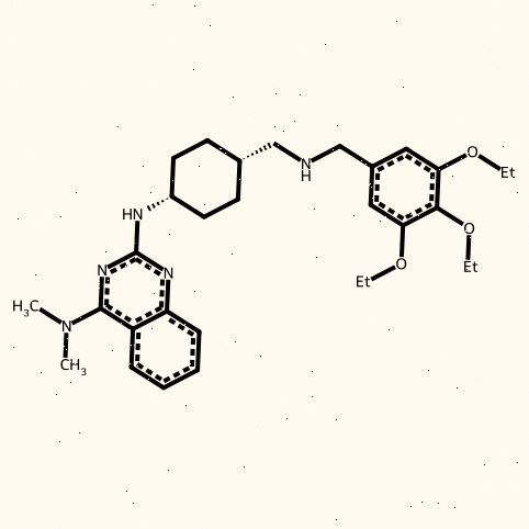 CCOc1cc(CNC[C@H]2CC[C@@H](Nc3nc(N(C)C)c4ccccc4n3)CC2)cc(OCC)c1OCC